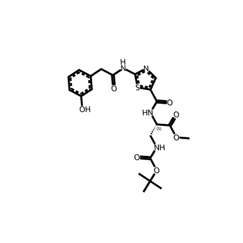 COC(=O)[C@H](CNC(=O)OC(C)(C)C)NC(=O)c1cnc(NC(=O)Cc2cccc(O)c2)s1